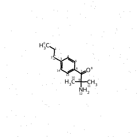 CCSc1ccc(C(=O)C(C)(C)N)cc1